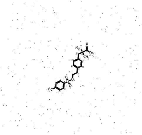 Cc1ccc(S(=O)(=O)OCCc2ccc(CC(C)(C)C(=O)O)cc2)cc1